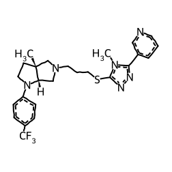 Cn1c(SCCCN2C[C@@H]3N(c4ccc(C(F)(F)F)cc4)CC[C@]3(C)C2)nnc1-c1cccnc1